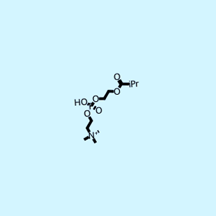 CC(C)C(=O)OCCOP(=O)(O)OCC[N+](C)(C)C